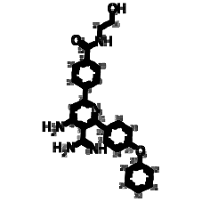 N=C(N)c1c(N)cc(-c2ccc(C(=O)NCCO)cc2)nc1-c1ccc(Oc2ccccc2)cc1